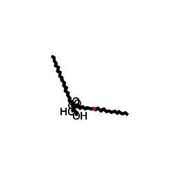 CCCCCCCCCC=CC=CC=CC=CC=CC(=O)OC(C(=O)C=CC=CC=CC=CC=CCCCCCCCCC)C(O)CO